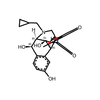 O=C1C[C@]23CCN(CC4CC4)[C@H]([C@H](O)c4ccc(O)cc42)[C@]3(O)CCNC(=O)N1